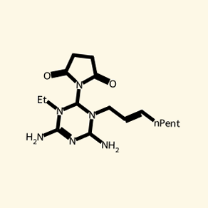 CCCCCC=CCN1C(N)N=C(N)N(CC)C1N1C(=O)CCC1=O